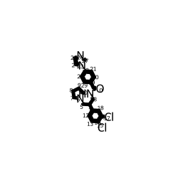 O=C(NCC(CN1CCCC1)c1ccc(Cl)c(Cl)c1)c1ccc(-n2ccnc2)cc1